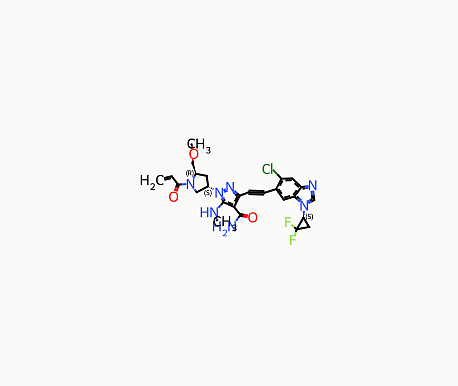 C=CC(=O)N1C[C@@H](n2nc(C#Cc3cc4c(cc3Cl)ncn4[C@H]3CC3(F)F)c(C(N)=O)c2NC)C[C@@H]1COC